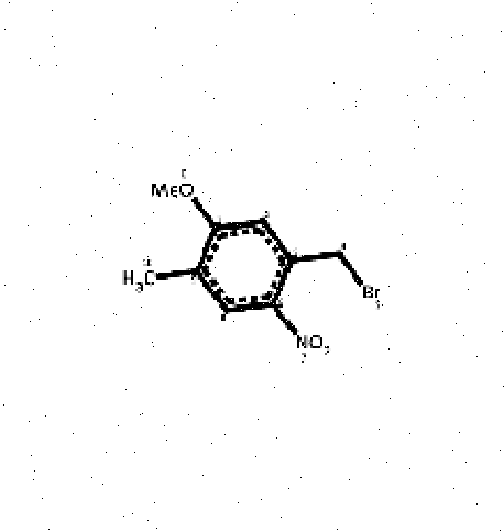 COc1cc(CBr)c([N+](=O)[O-])cc1C